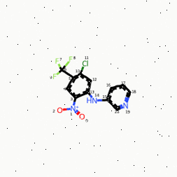 O=[N+]([O-])c1cc(C(F)(F)F)c(Cl)cc1Nc1c[c]cnc1